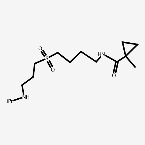 CC(C)NCCCS(=O)(=O)CCCCNC(=O)C1(C)CC1